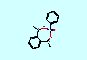 C[C@@H]1OP(=O)(c2ccccc2)O[C@H](C)c2ccccc21